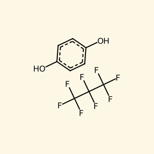 FC(F)(F)C(F)(F)C(F)(F)F.Oc1ccc(O)cc1